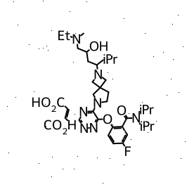 CCN(C)CC(O)CC(C(C)C)N1CC2(CCN(c3ncnnc3Oc3ccc(F)cc3C(=O)N(C(C)C)C(C)C)C2)C1.O=C(O)/C=C/C(=O)O